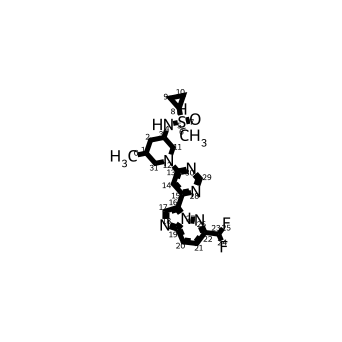 CC1CC(N[SH](C)(=O)C2CC2)CN(c2cc(-c3cnc4ccc(C(F)F)nn34)ncn2)C1